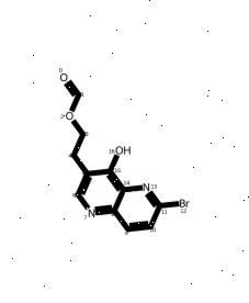 O=COCCc1cnc2ccc(Br)nc2c1O